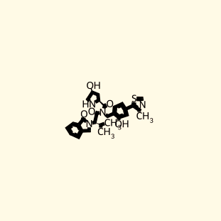 Cc1ncsc1-c1ccc(CN(C(=O)[C@@H]2C[C@@H](O)CN2)C(=O)[C@H](C(C)C)N2Cc3ccccc3C2=O)c(O)c1